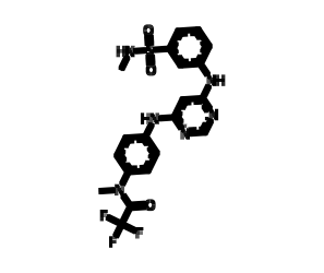 CNS(=O)(=O)c1cccc(Nc2cc(Nc3ccc(N(C)C(=O)C(F)(F)F)cc3)ncn2)c1